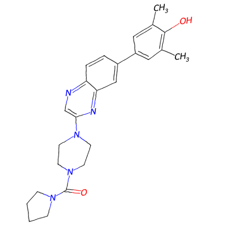 Cc1cc(-c2ccc3ncc(N4CCN(C(=O)N5CCCC5)CC4)nc3c2)cc(C)c1O